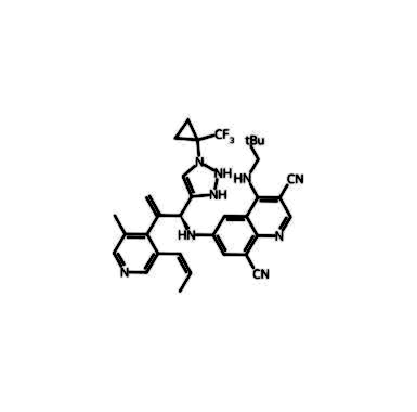 C=C(c1c(C)cncc1/C=C\C)[C@H](Nc1cc(C#N)c2ncc(C#N)c(NCC(C)(C)C)c2c1)C1=CN(C2(C(F)(F)F)CC2)NN1